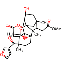 COC(=O)CC1C2(C)CC3(O)CC4(C2)OC2(C)OC56C3OC(=O)CC5C(C)(C(=O)c3ccoc3)CCC6(O2)C14C